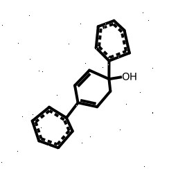 OC1(c2ccccc2)C=CC(c2ccccc2)=CC1